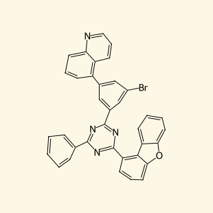 Brc1cc(-c2nc(-c3ccccc3)nc(-c3cccc4oc5ccccc5c34)n2)cc(-c2cccc3ncccc23)c1